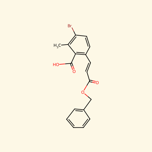 Cc1c(Br)ccc(/C=C/C(=O)OCc2ccccc2)c1C(=O)O